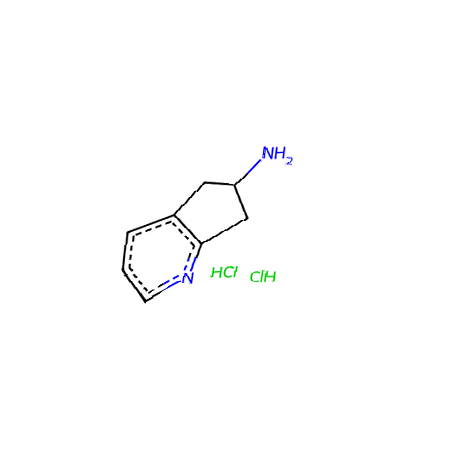 Cl.Cl.NC1Cc2cccnc2C1